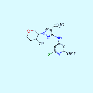 CCOC(=O)c1cn(C2COCCC2C#N)nc1Nc1cc(F)nc(OC)c1